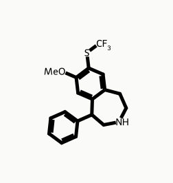 COc1cc2c(cc1SC(F)(F)F)CCNCC2c1ccccc1